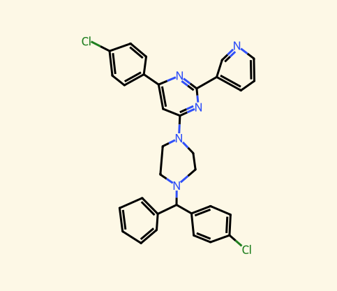 Clc1ccc(-c2cc(N3CCN(C(c4ccccc4)c4ccc(Cl)cc4)CC3)nc(-c3cccnc3)n2)cc1